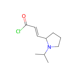 CC(C)N1CCCC1/C=C/C(=O)Cl